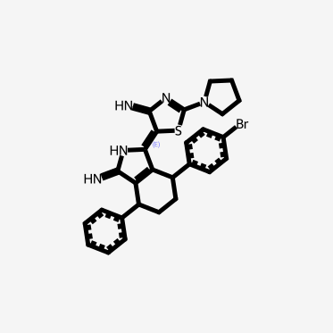 N=C1N/C(=C2/SC(N3CCCC3)=NC2=N)C2=C1C(c1ccccc1)CCC2c1ccc(Br)cc1